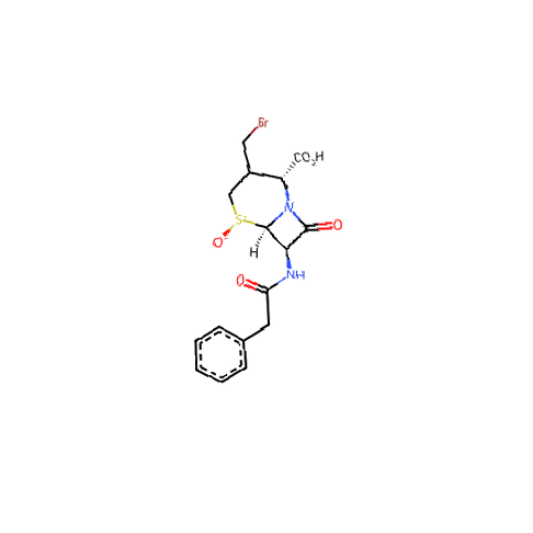 O=C(Cc1ccccc1)N[C@@H]1C(=O)N2[C@@H]1[S@@+]([O-])CC(CBr)[C@@H]2C(=O)O